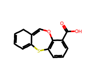 O=C(O)c1cccc2c1OC=C1CC=CC=C1S2